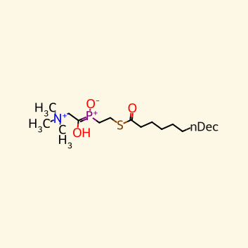 CCCCCCCCCCCCCCCC(=O)SCC/[P+]([O-])=C(\O)C[N+](C)(C)C